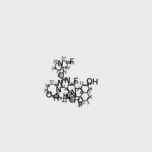 C#Cc1c(F)ccc2cc(O)cc(-c3nc4c5c(nc(OC[C@@]67CCCN6C[C@H](F)C7)nc5c3F)N3CCCCOC[C@@H]3CCN4C)c12